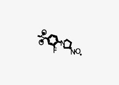 CO/N=C1\CCN(c2ccc(S(C)(=O)=O)cc2F)C1